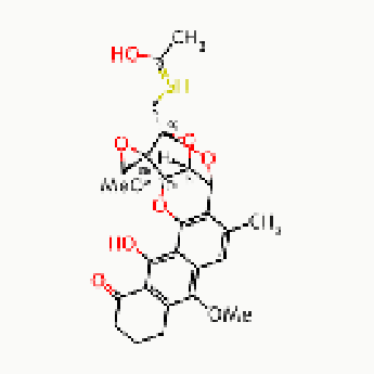 COc1c2c(c(O)c3c4c(c(C)cc13)C1O[C@]3(C[SH]=C(C)O)O[C@H]1[C@@](OC)(O4)[C@@]31CO1)C(=O)CCC2